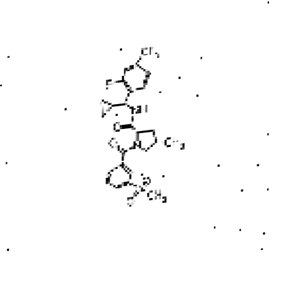 C[C@H]1C[C@H](C(=O)NC(c2ccc(C(F)(F)F)cc2F)C2CC2)N(C(=O)c2cccc(S(C)(=O)=O)c2)C1